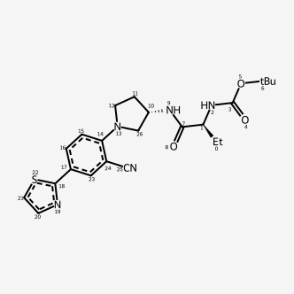 CC[C@H](NC(=O)OC(C)(C)C)C(=O)N[C@H]1CCN(c2ccc(-c3nccs3)cc2C#N)C1